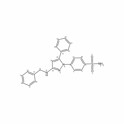 NS(=O)(=O)c1ccc(-n2nc(NCc3ccccc3)cc2-c2ccccc2)cc1